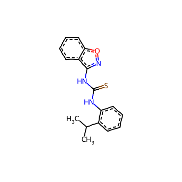 CC(C)c1ccccc1NC(=S)Nc1noc2ccccc12